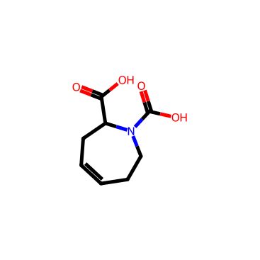 O=C(O)C1CC=CCCN1C(=O)O